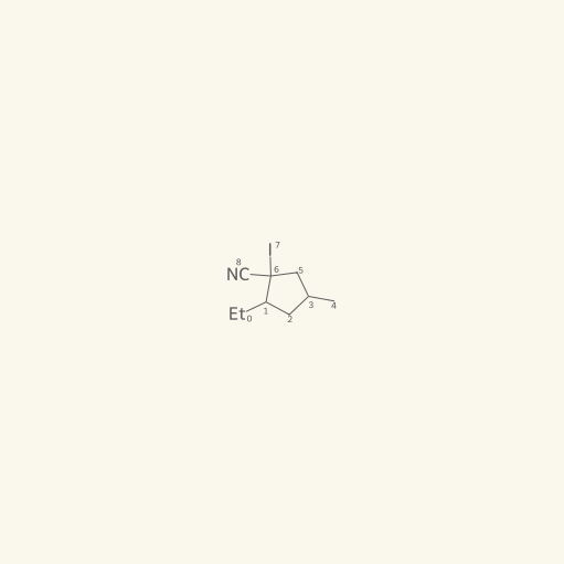 CCC1CC(C)CC1(I)C#N